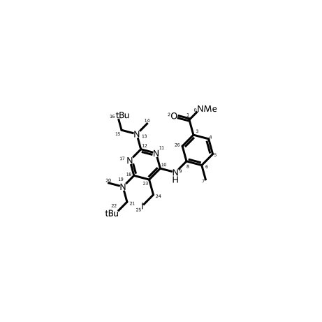 CNC(=O)c1ccc(C)c(Nc2nc(N(C)CC(C)(C)C)nc(N(C)CC(C)(C)C)c2CI)c1